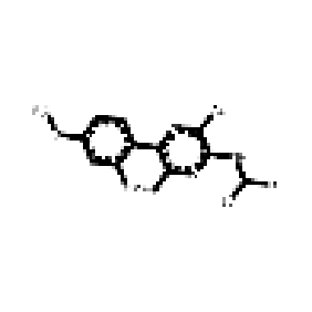 CCC(CC)Nc1nc(C)c(-c2ccc(OC(F)(F)F)cc2OC)nc1C(C)=O